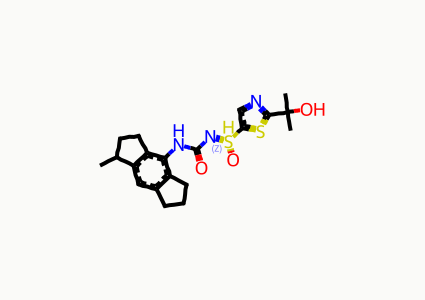 CC1CCc2c1cc1c(c2NC(=O)/N=[SH](=O)/c2cnc(C(C)(C)O)s2)CCC1